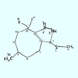 CSN1NNC2=C1CCC(C)CCC2(F)F